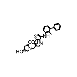 Cc1c(Nc2csc3cc(CN4C[C@@H](O)C[C@H]4C(=O)O)cnc23)cccc1-c1ccccc1